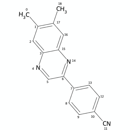 Cc1cc2ncc(-c3ccc(C#N)cc3)nc2cc1C